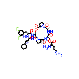 C[C@@H]1NC(=O)[C@H](COC(=O)[C@@H](N)CCCN)N(C)C(=O)[C@@H]2CCCN2C(=O)[C@@H](NC(=O)[C@H](Cc2cc(F)cc(F)c2)NC(=O)/C=C/C2CCCCC2)COC(=O)[C@@H]2CCCN2C1=O